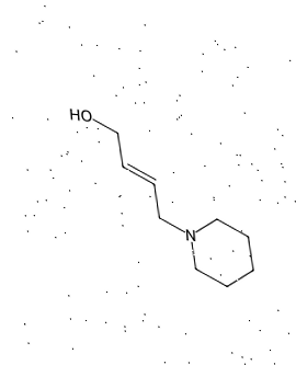 OCC=CCN1CCCCC1